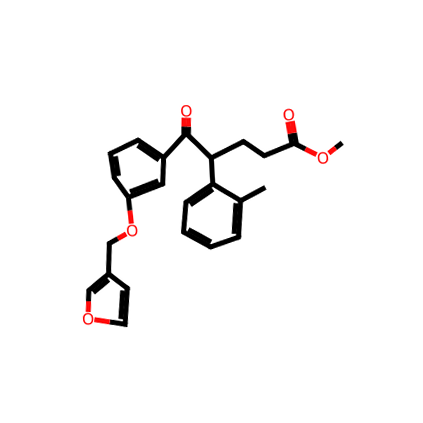 COC(=O)CCC(C(=O)c1cccc(OCc2ccoc2)c1)c1ccccc1C